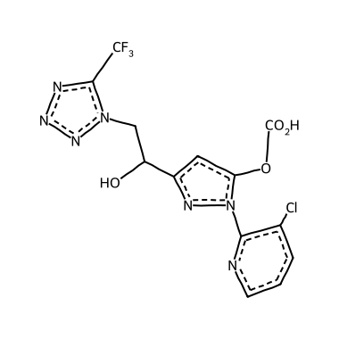 O=C(O)Oc1cc(C(O)Cn2nnnc2C(F)(F)F)nn1-c1ncccc1Cl